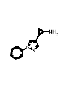 NC1CC1c1cnn(-c2ccccc2)c1